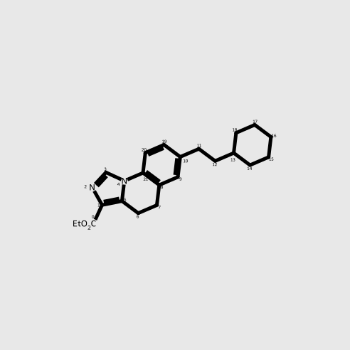 CCOC(=O)c1ncn2c1CCc1cc(CCC3CCCCC3)ccc1-2